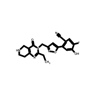 CCc1nc2c(c(=O)n1Cc1cc(-c3cc(O)c(F)cc3C#N)on1)CNCC2